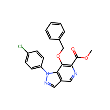 COC(=O)c1ncc2cnn(-c3ccc(Cl)cc3)c2c1OCc1ccccc1